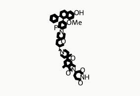 COc1cc(N2CCC3(CC[C@@H](CN4CCC5(CC4)COc4c5cc(C)c5c4CN([C@H]4CCC(=O)NC6OC64)C5=O)CO3)CC2)c(F)cc1[C@@H]1c2ccc(O)cc2CC[C@@H]1c1ccccc1